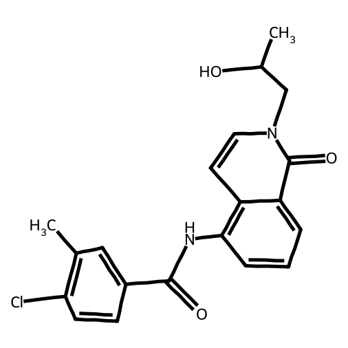 Cc1cc(C(=O)Nc2cccc3c(=O)n(CC(C)O)ccc23)ccc1Cl